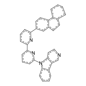 c1cc(-c2ccc3c(ccc4ccccc43)c2)nc(-c2cccc(-n3c4ccccc4c4cnccc43)n2)c1